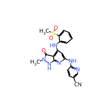 Cn1[nH]c2nc(Nc3ccc(C#N)cn3)cc(Nc3ccccc3S(C)(=O)=O)c2c1=O